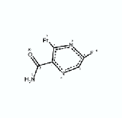 CCc1nc(F)cnc1C(N)=O